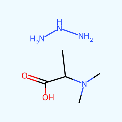 CC(C(=O)O)N(C)C.NNN